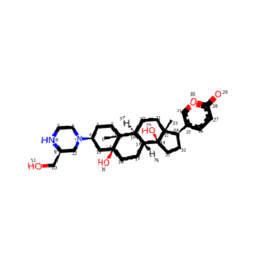 C[C@]12CC[C@H](N3CCN[C@H](CO)C3)C[C@@]1(O)CC[C@@H]1[C@@H]2CC[C@]2(C)[C@@H](c3ccc(=O)oc3)CC[C@]12O